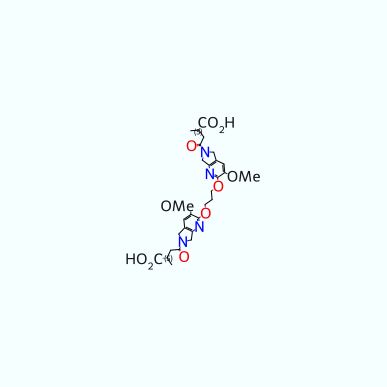 COc1cc2c(nc1OCCCOc1nc3c(cc1OC)CN(C(=O)C[C@H](C)C(=O)O)C3)CN(C(=O)C[C@H](C)C(=O)O)C2